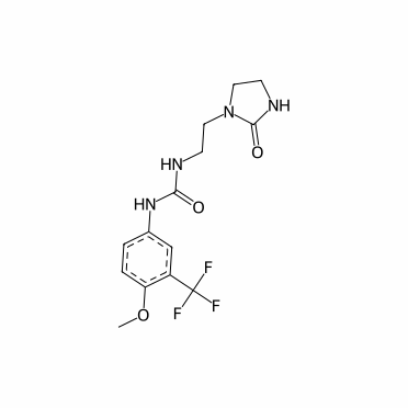 COc1ccc(NC(=O)NCCN2CCNC2=O)cc1C(F)(F)F